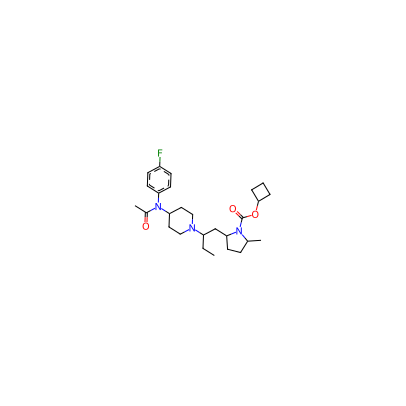 CCC(CC1CCC(C)N1C(=O)OC1CCC1)N1CCC(N(C(C)=O)c2ccc(F)cc2)CC1